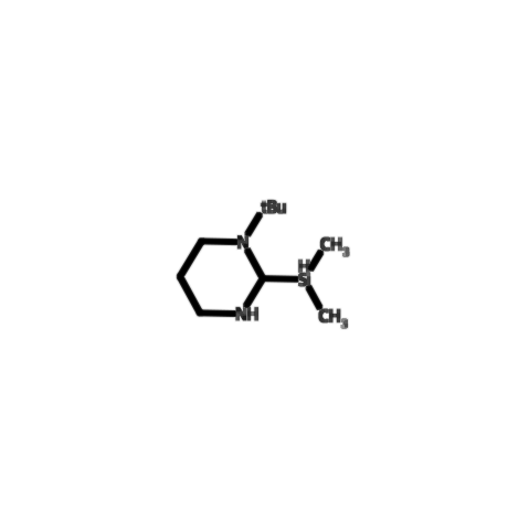 C[SiH](C)C1NCCCN1C(C)(C)C